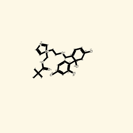 CC(C)(C)C(=O)OC[N+]1(CCOCC2=CC=C(Cl)CC2(Cl)c2ccc(Cl)cc2Cl)C=CN=C1